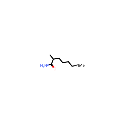 CNCCCCC(C)C(N)=O